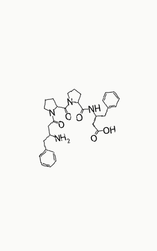 NC(CC(=O)N1CCCC1C(=O)N1CCCC1C(=O)NC(CC(=O)O)Cc1ccccc1)Cc1ccccc1